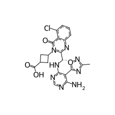 Cc1noc(-c2c(N)ncnc2N[C@@H](C)c2nc3cccc(Cl)c3c(=O)n2C2CC(C(=O)O)C2)n1